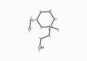 CC(=O)[O-].C[N+]1(CCO)CCCCC1